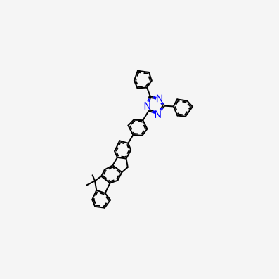 CC1(C)c2ccccc2-c2cc3c(cc21)-c1ccc(-c2ccc(-c4nc(-c5ccccc5)nc(-c5ccccc5)n4)cc2)cc1C3